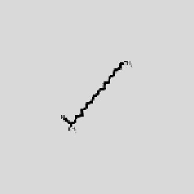 [CH2]C(C#N)CCCCCCCCCCCCCCCCCCC